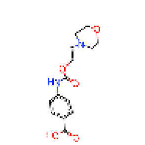 O=C(Nc1ccc(C(=O)O)cc1)OCCN1CCOCC1